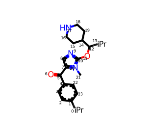 CC(C)c1ccc(C(=O)c2cnc(OC(C(C)C)C3CCNCC3)n2C)cc1